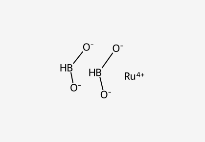 [O-]B[O-].[O-]B[O-].[Ru+4]